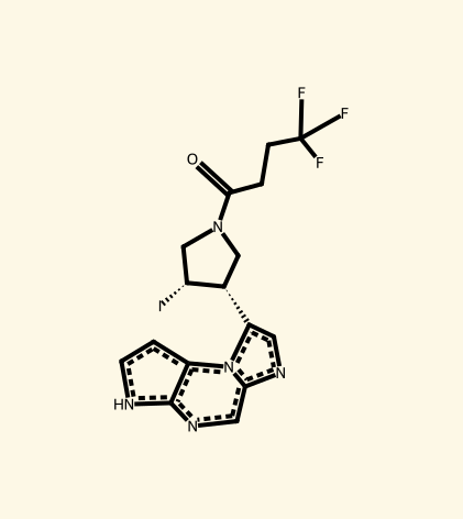 O=C(CCC(F)(F)F)N1C[C@@H](I)[C@@H](c2cnc3cnc4[nH]ccc4n23)C1